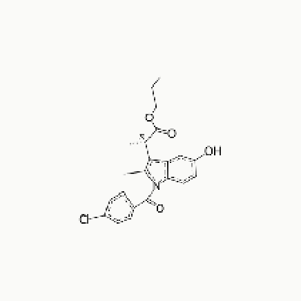 CCCOC(=O)[C@@H](C)c1c(C)n(C(=O)c2ccc(Cl)cc2)c2ccc(O)cc12